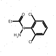 CCC(=O)N(N)c1c(Cl)cccc1Cl